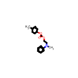 Cc1ccc(OC(=O)OCCN(C)c2ccccc2)cc1